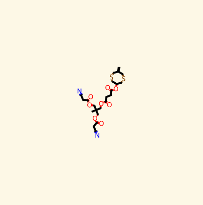 C=C1CSCC(OC(=O)CCC(=O)OCC(C)(COC(=O)CC#N)COC(=O)CC#N)CSC1